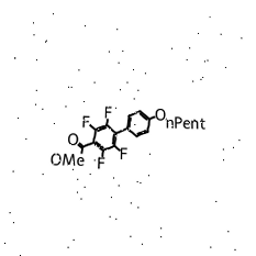 CCCCCOc1ccc(-c2c(F)c(F)c(C(=O)OC)c(F)c2F)cc1